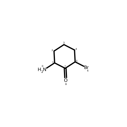 NC1CCCC(Br)C1=O